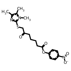 Cc1nc(SCC(=O)CCCCC(=O)Oc2ccc([N+](=O)[O-])cc2)n(C)c1C